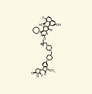 C#Cc1c(F)ccc2cc(O)cc(-c3ncc4c(N5CCCCCC5)nc(OCC5(CN6CCN(CC7CCN(c8ccc9c(c8)n(C)c(=O)n9C8CCC(=O)NC8=O)CC7)CC6)CC5)nc4c3F)c12